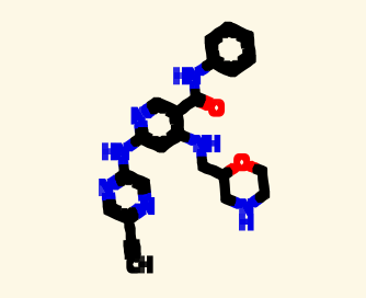 C#Cc1cnc(Nc2cc(NCC3CNCCO3)c(C(=O)Nc3ccccc3)cn2)cn1